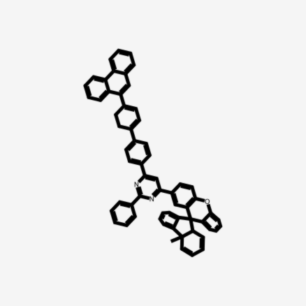 CC12C=CC=CC1C1(c3ccccc3Oc3ccc(-c4cc(-c5ccc(C6=CC=C(c7cc8ccccc8c8ccccc78)CC6)cc5)nc(-c5ccccc5)n4)cc31)c1ccccc12